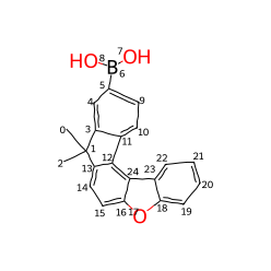 CC1(C)c2cc(B(O)O)ccc2-c2c1ccc1oc3ccccc3c21